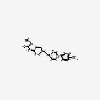 CC(C)(C)OC(=O)NC1CCN(CCN2CCN(c3ccc([N+](=O)[O-])cc3)CC2)CC1